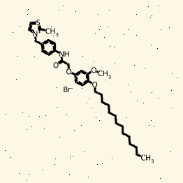 CCCCCCCCCCCCCCOc1ccc(OCC(=O)Nc2ccc(C[n+]3ccsc3C)cc2)cc1OC.[Br-]